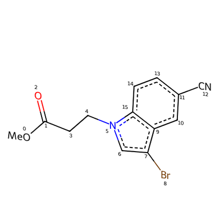 COC(=O)CCn1cc(Br)c2cc(C#N)ccc21